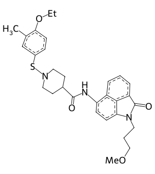 CCOc1ccc(SN2CCC(C(=O)Nc3ccc4c5c(cccc35)C(=O)N4CCCOC)CC2)cc1C